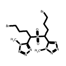 Cn1nnnc1C(CCCBr)S(=O)(=O)C(CCCBr)c1nnnn1C